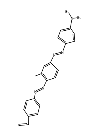 C=Cc1ccc(N=Nc2ccc(N=Nc3ccc(N(CC)CC)cc3)cc2C)cc1